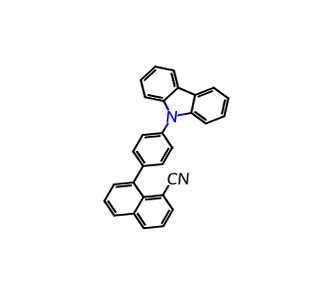 N#Cc1cccc2cccc(-c3ccc(-n4c5ccccc5c5ccccc54)cc3)c12